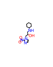 O=[N+]([O-])c1nccn1CC(O)CNC1CCCCC1